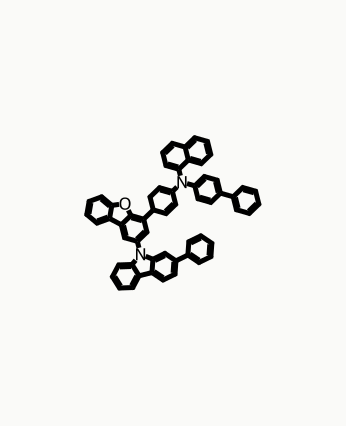 C1=CC(c2cc(-n3c4ccccc4c4ccc(-c5ccccc5)cc43)cc3c2oc2ccccc23)CC=C1N(c1ccc(-c2ccccc2)cc1)c1cccc2ccccc12